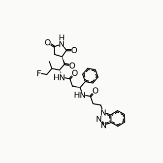 CC(CF)[C@@H](NC(=O)C[C@H](NC(=O)CCn1nnc2ccccc21)c1ccccc1)C(=O)[C@H]1CC(=O)NC1=O